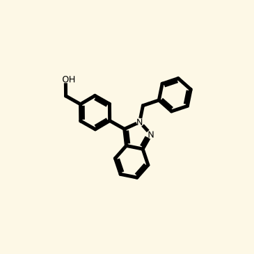 OCc1ccc(-c2c3ccccc3nn2Cc2ccccc2)cc1